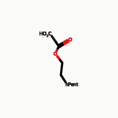 CCCCCCCOC(=O)C(=O)O